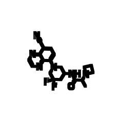 CC(C(=O)NC1CN(c2ccc(C#N)c3nccnc23)CC(F)(F)C1)N1CCC1